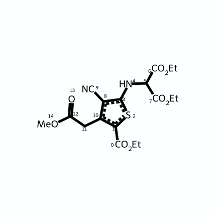 CCOC(=O)c1sc(NC(C(=O)OCC)C(=O)OCC)c(C#N)c1CC(=O)OC